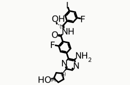 Nc1ncc([C@H]2CC[C@@H](O)C2)nc1-c1ccc(C(=O)N[C@H](CO)c2cc(F)cc(I)c2)c(F)c1